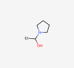 C[CH]C(O)N1CCCC1